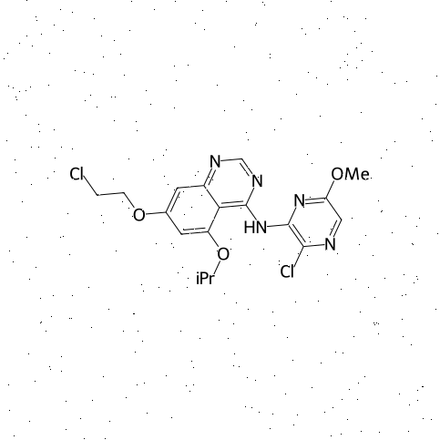 COc1cnc(Cl)c(Nc2ncnc3cc(OCCCl)cc(OC(C)C)c23)n1